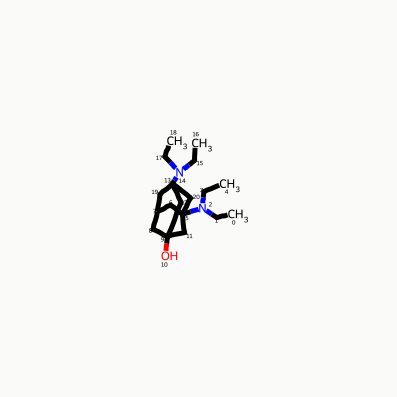 CCN(CC)C12CC3CC(O)(C1)CC(N(CC)CC)(C3)C2